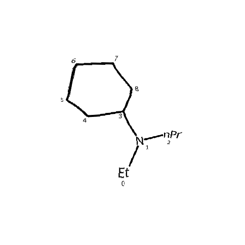 [CH2]CN(CCC)C1CCCCC1